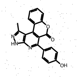 Cc1n[nH]c2nc(-c3ccc(O)cc3)c3c(=O)oc4ccccc4c3c12